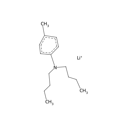 CCCCN(CCCC)c1ccc(C)cc1.[Li+]